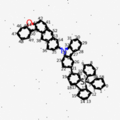 c1ccc([Si]2(c3ccccc3)c3ccccc3-c3ccc(-c4ccc5c(c4)c4ccccc4n5-c4ccc5cc6c(ccc7oc8ccccc8c76)cc5c4)cc32)cc1